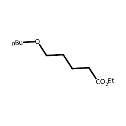 CCCCOCCCCC(=O)OCC